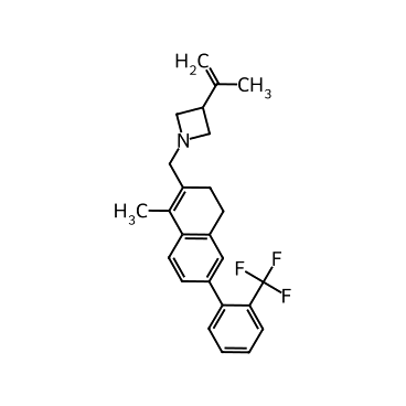 C=C(C)C1CN(CC2=C(C)c3ccc(-c4ccccc4C(F)(F)F)cc3CC2)C1